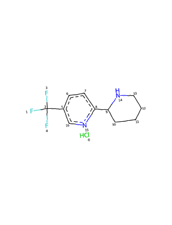 Cl.FC(F)(F)c1ccc(C2CCCCN2)nc1